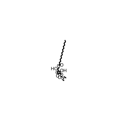 CCCCCCCCCCCCCCCC(=O)OCC(O)C1OC(=O)C(OC(=O)N(CC)CC)=C1O